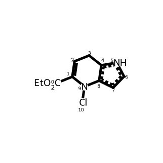 CCOC(=O)C1=CCc2[nH]ccc2N1Cl